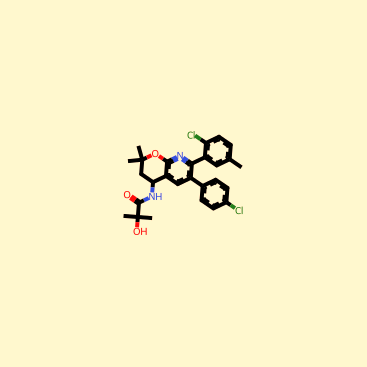 Cc1ccc(Cl)c(-c2nc3c(cc2-c2ccc(Cl)cc2)C(NC(=O)C(C)(C)O)CC(C)(C)O3)c1